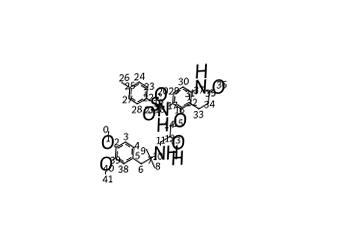 COc1ccc(CC(C)(C)NCC(O)COc2c(NS(=O)(=O)c3ccc(C)cc3)ccc3c2CCC(=O)N3)cc1OC